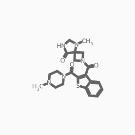 CN1CCN(C(=O)c2sc3ccccc3c2C(=O)N2CC3(C2)C(=O)NCN3C)CC1